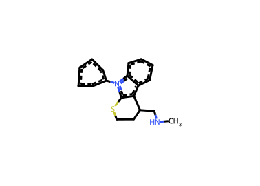 CNCC1CCSc2c1c1ccccc1n2-c1ccccc1